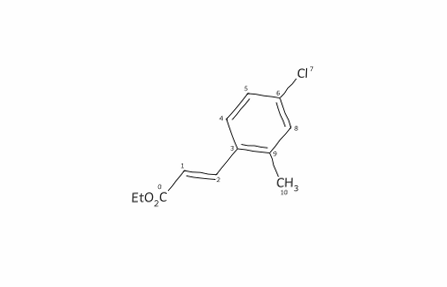 CCOC(=O)C=Cc1ccc(Cl)cc1C